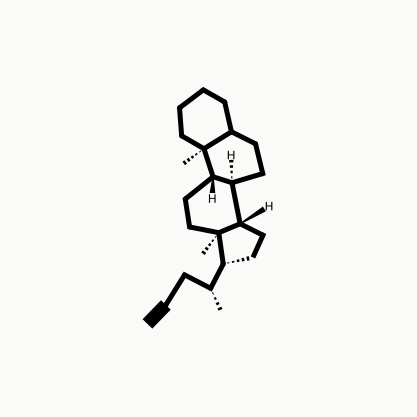 C#CC[C@@H](C)[C@H]1CC[C@H]2[C@@H]3CCC4CCCC[C@]4(C)[C@H]3CC[C@]12C